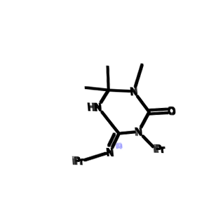 CC(C)/N=C1\NC(C)(C)N(C)C(=O)N1C(C)C